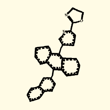 c1ccc2cc(-c3c4ccccc4c(-c4ccc(C5=NCCO5)nc4)c4ccccc34)ccc2c1